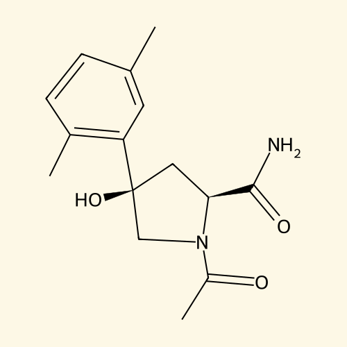 CC(=O)N1C[C@](O)(c2cc(C)ccc2C)C[C@H]1C(N)=O